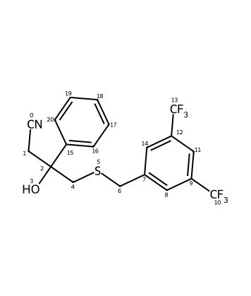 N#CCC(O)(CSCc1cc(C(F)(F)F)cc(C(F)(F)F)c1)c1ccccc1